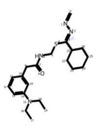 C=N/N=C(\SCNC(=O)Cc1cccc(N(CC)CC)c1)C1CCCCC1